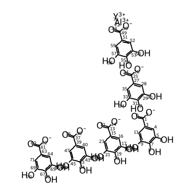 O=C([O-])c1cc(O)c(O)c(O)c1.O=C([O-])c1cc(O)c(O)c(O)c1.O=C([O-])c1cc(O)c(O)c(O)c1.O=C([O-])c1cc(O)c(O)c(O)c1.O=C([O-])c1cc(O)c(O)c(O)c1.O=C([O-])c1cc(O)c(O)c(O)c1.[Al+3].[Y+3]